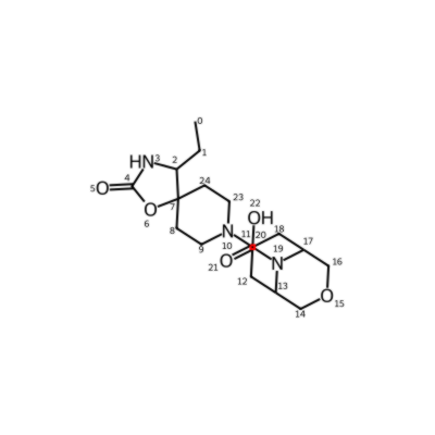 CCC1NC(=O)OC12CCN(C1CC3COCC(C1)N3C(=O)O)CC2